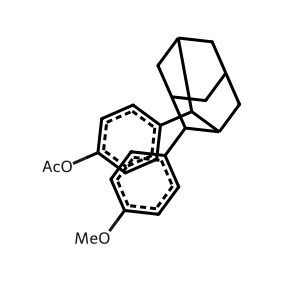 COc1ccc(C2C3CC4CC(C3)C(c3ccc(OC(C)=O)cc3)C2C4)cc1